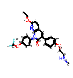 CCOc1ccc2cc(-c3ccc(OCCNC)cc3)c(=O)n(-c3ccc(OC(F)F)cc3)c2n1